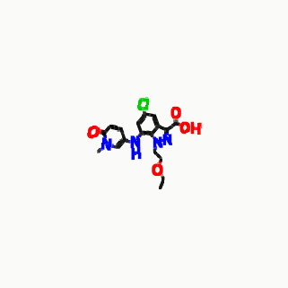 CCOCCn1nc(C(=O)O)c2cc(Cl)cc(Nc3ccc(=O)n(C)c3)c21